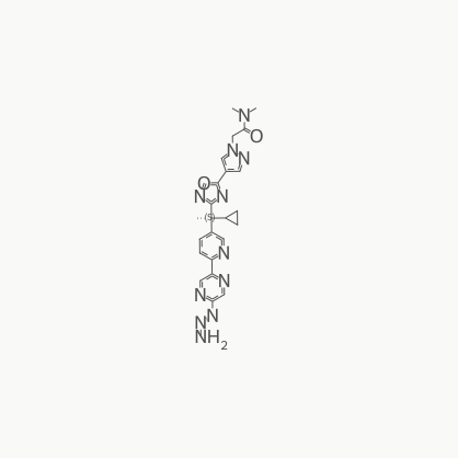 CN(C)C(=O)Cn1cc(-c2nc([C@](C)(c3ccc(-c4cnc(N=NN)cn4)nc3)C3CC3)no2)cn1